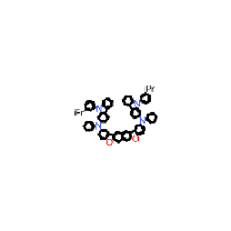 CC(C)c1cccc(-n2c3ccccc3c3ccc(N(c4ccccc4)c4ccc5oc6cc7cc8oc9ccc(N(c%10ccccc%10)c%10ccc%11c%12ccccc%12n(-c%12cccc(C(C)C)c%12)c%11c%10)cc9c8cc7cc6c5c4)cc32)c1